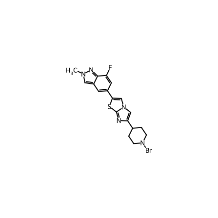 Cn1cc2cc(-c3cn4cc(C5CCN(Br)CC5)nc4s3)cc(F)c2n1